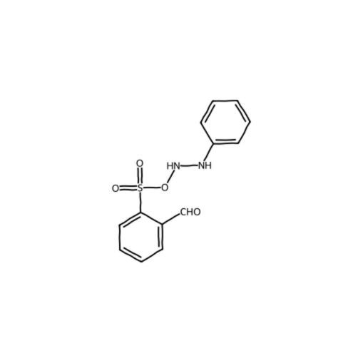 O=Cc1ccccc1S(=O)(=O)ONNc1ccccc1